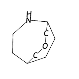 C1CC2CCC(COC2)N1